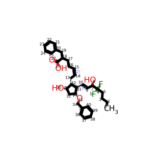 CCCCC(F)(F)C(O)/C=C/[C@@H]1[C@@H](C/C=C\CCC(Cc2ccccc2)C(=O)O)[C@@H](O)C[C@H]1OCc1ccccc1